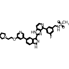 CS(=O)(=O)NCc1cc(F)cc(-c2nccc3[nH]c(-c4n[nH]c5ccc(-c6cncc(OCCN7CCCC7)c6)cc45)nc23)c1